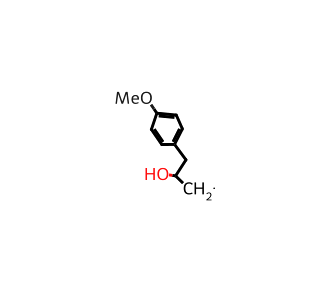 [CH2]C(O)Cc1ccc(OC)cc1